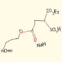 CCCCCCCCCCCCOC(=O)CC(C(=O)OCC)S(=O)(=O)O.[NaH]